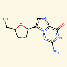 Nc1nn2c([C@H]3CC[C@@H](CO)O3)cnc2c(=O)[nH]1